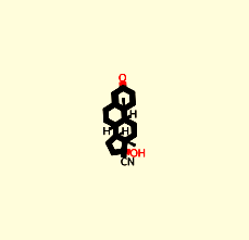 C[C@]12CCC(=O)C=C1CC[C@@H]1[C@H]2CC[C@@]2(C)[C@H]1CCC2(O)C#N